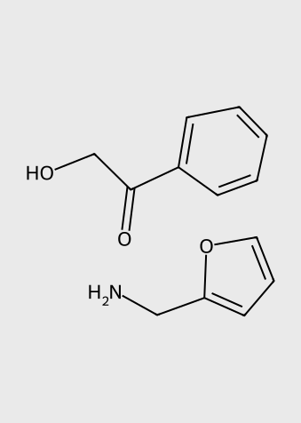 NCc1ccco1.O=C(CO)c1ccccc1